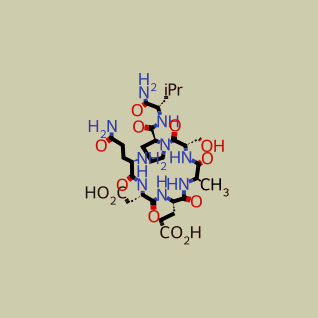 CC(C)C[C@H](NC(=O)[C@@H]1CCCN1C(=O)[C@H](CO)NC(=O)[C@H](C)NC(=O)[C@H](CCC(=O)O)NC(=O)[C@H](CC(=O)O)NC(=O)[C@@H](N)CCC(N)=O)C(N)=O